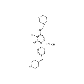 Cl.Cl.O=c1c(Cl)c(NC[C@H]2CCCOC2)cnn1-c1ccc(OC2CCNCC2)cc1